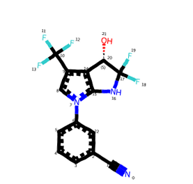 N#Cc1cccc(-n2cc(C(F)(F)F)c3c2NC(F)(F)[C@H]3O)c1